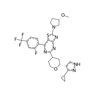 CO[C@H]1CCN(c2nc3nc(C4CCO[C@@H](c5c[nH]nc5C5CC5)C4)nc(-c4ccc(C(F)(F)F)cc4F)c3s2)C1